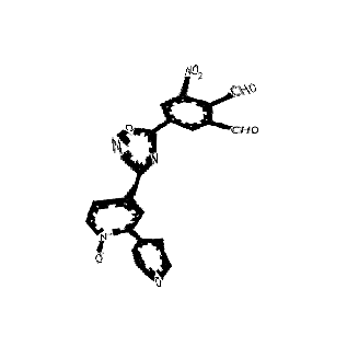 O=Cc1cc(-c2nc(-c3cc[n+]([O-])c(-c4ccoc4)c3)no2)cc([N+](=O)[O-])c1C=O